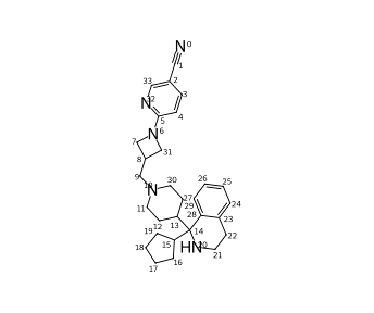 N#Cc1ccc(N2CC(CN3CCC(C4(C5CCCC5)NCCc5ccccc54)CC3)C2)nc1